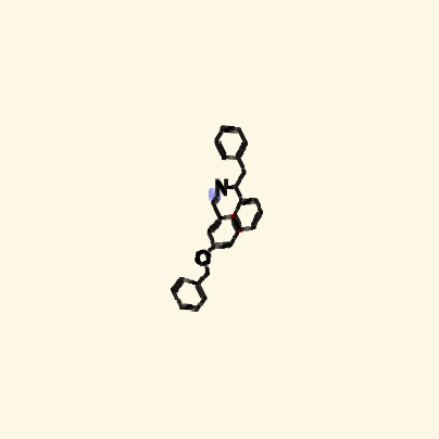 C(=N/C(Cc1ccccc1)c1ccccc1)/c1cccc(OCc2ccccc2)c1